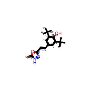 CC(C)(C)c1cc(/C=C/c2n[nH]c(=S)o2)cc(C(C)(C)C)c1O